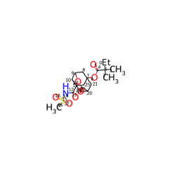 CCC(C)(C)C(=O)OC12CC3CC(C(=O)NS(C)(=O)=O)(CC(C1)C(=O)O3)C2